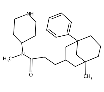 CN(C(=O)CCC1CC2(C)CCCC(c3ccccc3)(C1)C2)C1CCNCC1